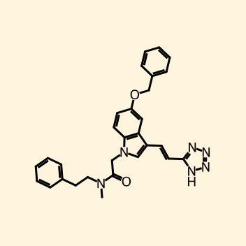 CN(CCc1ccccc1)C(=O)Cn1cc(/C=C/c2nnn[nH]2)c2cc(OCc3ccccc3)ccc21